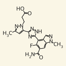 Cc1cc(-c2n[nH]c(-c3c(F)c(C(N)=O)cc4c3cnn4C)n2)n(CCC(=O)O)n1